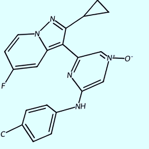 [O-][n+]1cc(Nc2ccc(C(F)(F)F)cc2)nc(-c2c(C3CC3)nn3ccc(F)cc23)c1